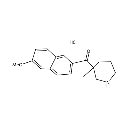 COc1ccc2cc(C(=O)C3(C)CCCNC3)ccc2c1.Cl